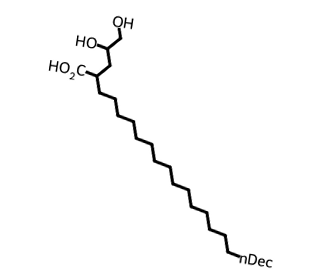 CCCCCCCCCCCCCCCCCCCCCCCCCC(CC(O)CO)C(=O)O